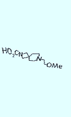 COCCN1CCC2(CC1)CN(C(=O)O)C2